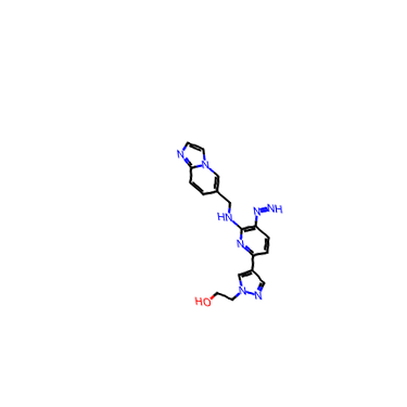 N=Nc1ccc(-c2cnn(CCO)c2)nc1NCc1ccc2nccn2c1